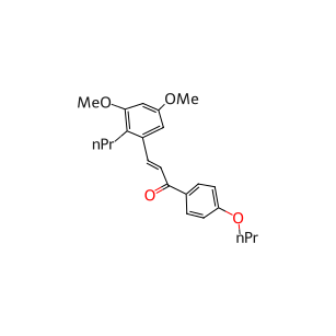 CCCOc1ccc(C(=O)C=Cc2cc(OC)cc(OC)c2CCC)cc1